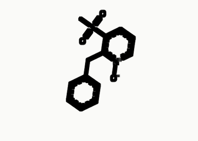 CS(=O)(=O)c1ccc[n+]([O-])c1Cc1ccccc1